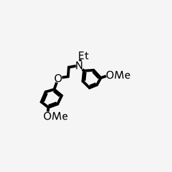 CCN(CCOc1ccc(OC)cc1)c1cccc(OC)c1